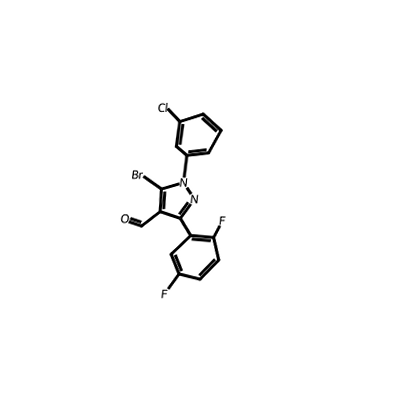 O=Cc1c(-c2cc(F)ccc2F)nn(-c2cccc(Cl)c2)c1Br